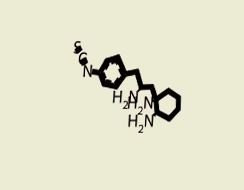 N[C@H](Cc1ccc(N=C=S)cc1)C[C@@]1(N)CCCC[C@H]1N